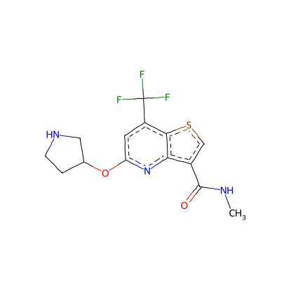 CNC(=O)c1csc2c(C(F)(F)F)cc(OC3CCNC3)nc12